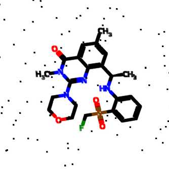 Cc1cc([C@@H](C)Nc2ccccc2S(=O)(=O)CF)c2nc(N3CCOCC3)n(C)c(=O)c2c1